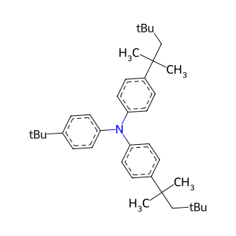 CC(C)(C)CC(C)(C)c1ccc(N(c2ccc(C(C)(C)C)cc2)c2ccc(C(C)(C)CC(C)(C)C)cc2)cc1